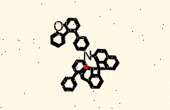 c1ccc(-c2ccc(N(c3ccc(-c4cccc5oc6ccccc6c45)cc3)c3ccc4cccc5c4c3C53c4cccc5cccc3c45)cc2)cc1